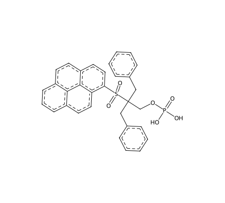 O=P(O)(O)OCC(Cc1ccccc1)(Cc1ccccc1)S(=O)(=O)c1ccc2ccc3cccc4ccc1c2c34